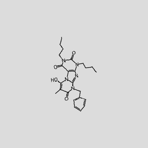 CCCCn1c(=O)c2c(nc3n(Cc4ccccc4)c(=O)c(C)c(O)n23)n(CCCC)c1=O